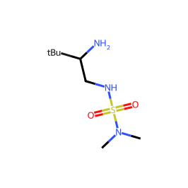 CN(C)S(=O)(=O)NCC(N)C(C)(C)C